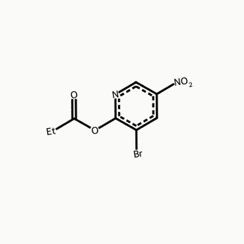 CCC(=O)Oc1ncc([N+](=O)[O-])cc1Br